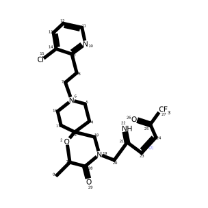 CC1OC2(CCN(CCc3ncccc3Cl)CC2)CN(CC(=N)/C=C\C(=O)C(F)(F)F)C1=O